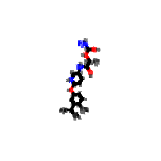 C=C(C)c1cc(Oc2ccc(NC(=O)[C@@H](CC)OC(N)=O)cn2)ccc1C#N